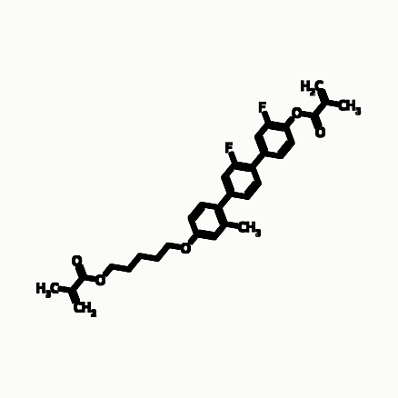 C=C(C)C(=O)OCCCCCOc1ccc(-c2ccc(-c3ccc(OC(=O)C(=C)C)c(F)c3)c(F)c2)c(C)c1